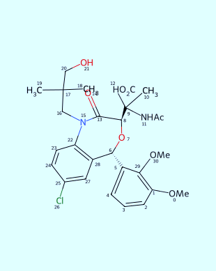 COc1cccc([C@H]2O[C@H](C(C)(NC(C)=O)C(=O)O)C(=O)N(CC(C)(C)CO)c3ccc(Cl)cc32)c1OC